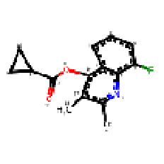 CCc1nc2c(F)cccc2c(OC(=O)C2CC2)c1C